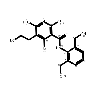 CCCc1c(C)nc(C)c(C(=O)Nc2c(CC)cccc2CC)c1Br